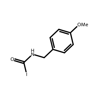 COc1ccc(CNC(=O)I)cc1